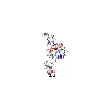 CC(C)(C)OC(=O)N1C[C@@H](CCC(Nc2cccc(S(=O)(=O)NC(=O)c3ccc(C(C)(C)C)nc3F)n2)C2CCOC(C)(C)C2(C)C)CC1(C)C